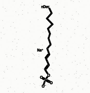 CCCCCCCCCCCCCCCCCCC=CC=COS(=O)(=O)[O-].[Na+]